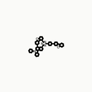 c1ccc(-c2nc(-c3ccc(-c4ccc5c(c4)oc4ccccc45)cc3)nc(-c3cccc4oc5ccc(-c6ccc7c8ccccc8n(-c8ccccc8)c7c6)cc5c34)n2)cc1